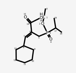 CCOP(=O)(CC(=CC1CCCCC1)C(=O)O)C(C)C